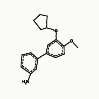 COc1ccc(-c2cccc(N)c2)cc1OC1CCCC1